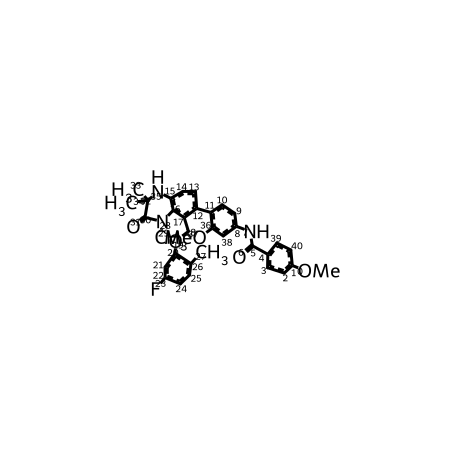 COc1ccc(C(=O)Nc2ccc(-c3ccc4c(c3COc3cc(F)ccc3C)N(C)C(=O)C(C)(C)N4)c(OC)c2)cc1